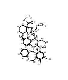 CCOP(=O)(NC1(C(=O)OC)CCCCC1)Oc1c2n(ccc1=O)N([C@@H]1c3ccccc3SCc3c1ccc(F)c3F)[C@@H]1COCCN1C2=O